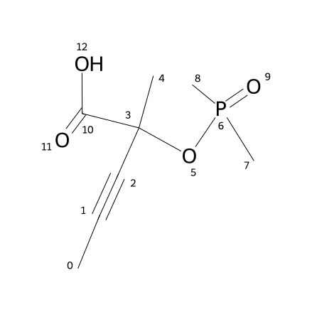 CC#CC(C)(OP(C)(C)=O)C(=O)O